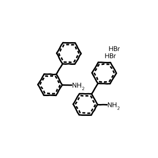 Br.Br.Nc1ccccc1-c1ccccc1.Nc1ccccc1-c1ccccc1